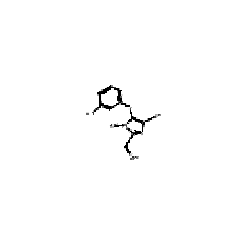 CCn1c(COC(C)=O)nc(C(C)C)c1Sc1cccc([N+](=O)[O-])c1